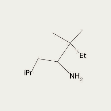 CCC(C)(C)C(N)CC(C)C